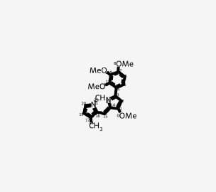 COC1=CC(c2ccc(OC)c(OC)c2OC)=N/C1=C\c1c(C)ccn1C